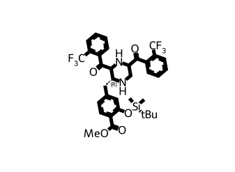 COC(=O)c1ccc(C[C@H]2NCC(C(=O)c3ccccc3C(F)(F)F)NC2C(=O)c2ccccc2C(F)(F)F)cc1O[Si](C)(C)C(C)(C)C